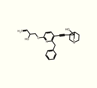 C=CC(O)COc1ccc(C#CC2(O)CN3CCC2CC3)c(Cc2ccccc2)n1